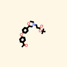 CC(=O)c1ccc(Oc2ccc(C3CN(CCC(=O)OC(C)(C)C)CCO3)cc2)cc1